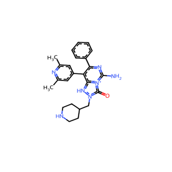 Cc1cc(-c2c(-c3ccccc3)nc(N)[n+]3c(=O)n(CC4CCNCC4)[nH]c23)cc(C)n1